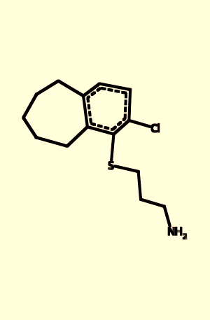 NCCCSc1c(Cl)ccc2c1CCCCC2